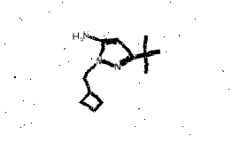 CC(C)(C)c1cc(N)n(CC2CCC2)n1